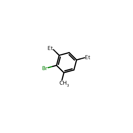 CCc1cc(C)c(Br)c(CC)c1